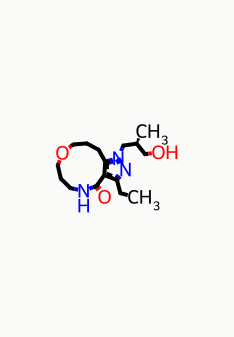 CCc1nn(C[C@@H](C)CO)c2c1C(=O)NCCCOCCC2